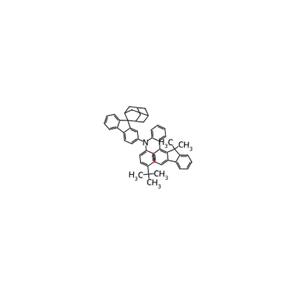 CC(C)(C)c1ccc(N(c2ccc3c(c2)C2(c4ccccc4-3)C3CC4CC(C3)CC2C4)c2ccccc2-c2cccc3c2C(C)(C)c2ccccc2-3)cc1